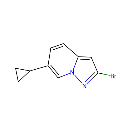 Brc1cc2ccc(C3CC3)cn2n1